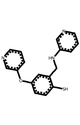 Sc1ccc(Oc2cccnc2)cc1CNc1cccnc1